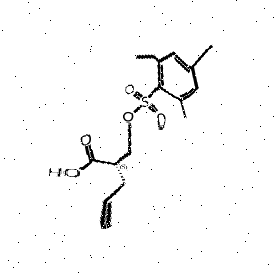 C=CC[C@@H](COS(=O)(=O)c1c(C)cc(C)cc1C)C(=O)O